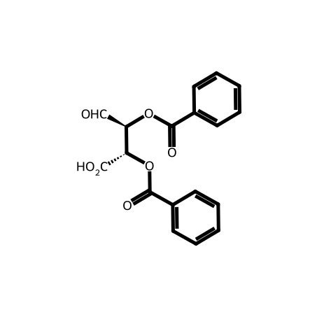 O=C[C@@H](OC(=O)c1ccccc1)[C@H](OC(=O)c1ccccc1)C(=O)O